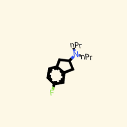 CCCN(CCC)C1Cc2ccc(F)cc2C1